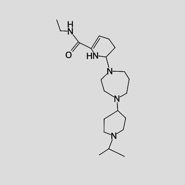 CCNC(=O)C1=CCCC(N2CCCN(C3CCN(C(C)C)CC3)CC2)N1